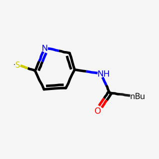 CCCCC(=O)Nc1ccc([S])nc1